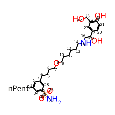 CCCCCc1cc(CCCCOCCCCCCNC[C@H](O)c2ccc(O)c(CO)c2)cc(S(N)(=O)=O)c1